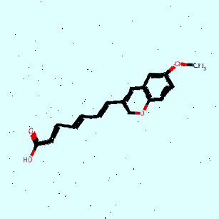 COc1ccc2c(c1)C=C(/C=C/C=C/C=C/C(=O)O)CO2